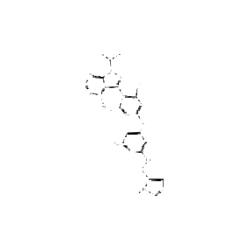 CC(C)n1nc(-c2ccc(Oc3cc(F)cc(OCc4cncn4C)c3)cc2F)c2c(N)ncnc21